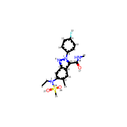 CCN(c1cc2nn(-c3ccc(F)cc3)c(C(=O)NC)c2cc1C)S(C)(=O)=O